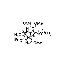 COCC(COC)n1c(NS(=O)(=O)[C@@H](C)C(OC(C)C)c2ncc(OC)cn2)nnc1[C@H]1CC[C@@H](C)O1